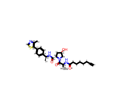 C#CCCCCCC(=O)NC(C(=O)N1C[C@H](O)C[C@H]1C(=O)N[C@@H](C)c1ccc(-c2scnc2C)cc1)C(C)(C)C